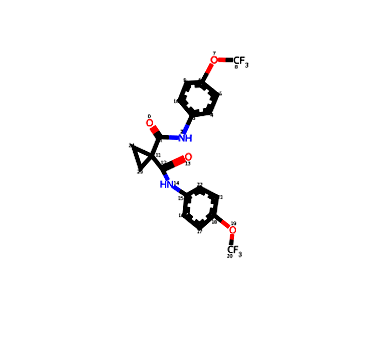 O=C(Nc1ccc(OC(F)(F)F)cc1)C1(C(=O)Nc2ccc(OC(F)(F)F)cc2)CC1